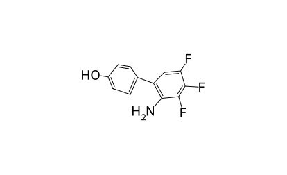 Nc1c(-c2ccc(O)cc2)cc(F)c(F)c1F